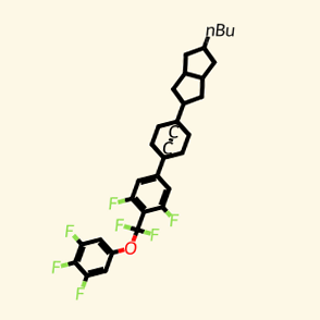 CCCCC1CC2CC(C34CCC(c5cc(F)c(C(F)(F)Oc6cc(F)c(F)c(F)c6)c(F)c5)(CC3)CC4)CC2C1